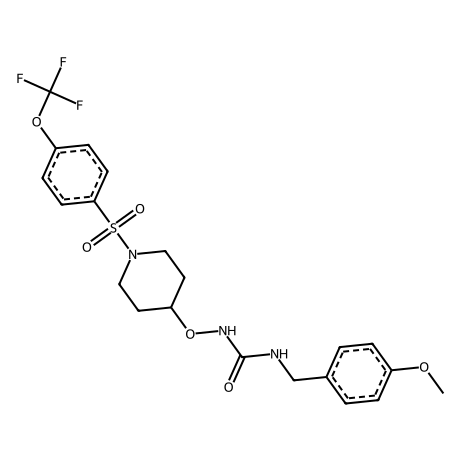 COc1ccc(CNC(=O)NOC2CCN(S(=O)(=O)c3ccc(OC(F)(F)F)cc3)CC2)cc1